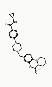 O=C(NC1CC1)c1ccc(N2CCN(Cc3cnc4c(c3)NC(=O)[C@@H]3CSCCN43)CC2)cc1